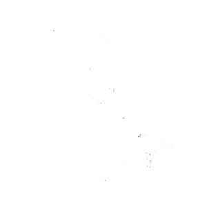 COCC(C)CN(C)S(=O)(=O)NC(=O)c1coc(Nc2cc(C(F)(F)F)ccc2C)n1